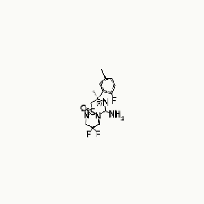 Cc1ccc(F)c([C@]2(C)CS3(=O)=NCC(F)(F)CN3C(N)=N2)c1